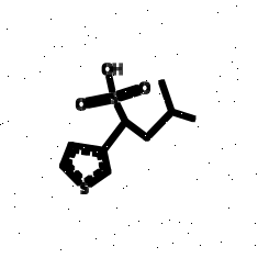 CC(C)CC(c1ccsc1)S(=O)(=O)O